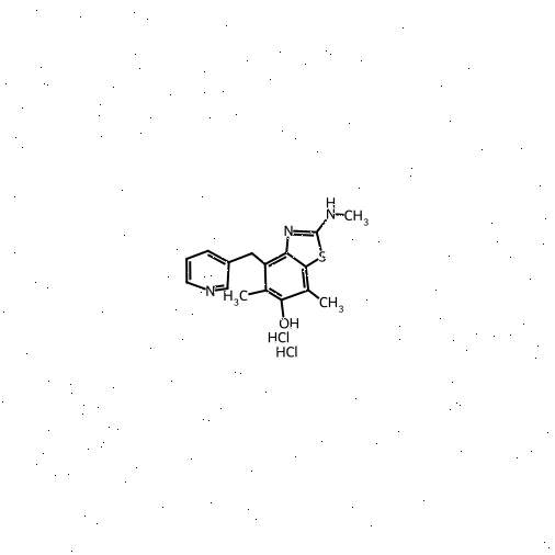 CNc1nc2c(Cc3cccnc3)c(C)c(O)c(C)c2s1.Cl.Cl